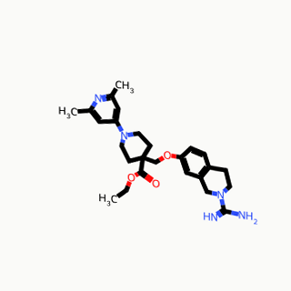 CCOC(=O)C1(COc2ccc3c(c2)CN(C(=N)N)CC3)CCN(c2cc(C)nc(C)c2)CC1